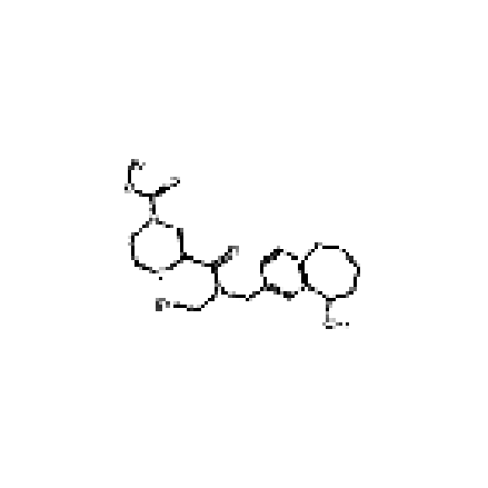 COC1CCCCc2ccc(CN(CC(C)C)C(=O)C3CN(C(=O)OC(C)(C)C)CCO3)cc21